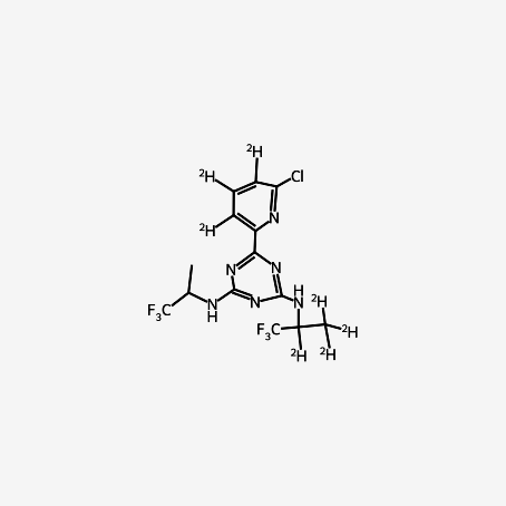 [2H]c1c(Cl)nc(-c2nc(NC(C)C(F)(F)F)nc(NC([2H])(C([2H])([2H])[2H])C(F)(F)F)n2)c([2H])c1[2H]